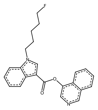 O=C(Oc1cncc2ccccc12)c1cn(CCCCCF)c2ccccc12